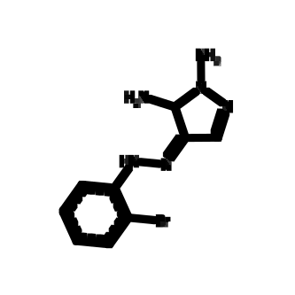 NC1C(=NNc2ccccc2Br)C=NN1N